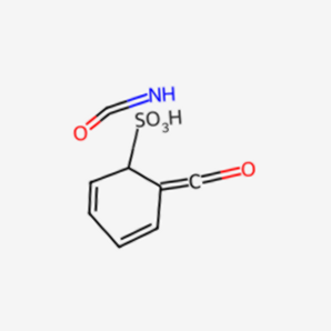 N=C=O.O=C=C1C=CC=CC1S(=O)(=O)O